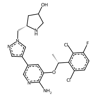 C[C@@H](Oc1cc(-c2cnn(C[C@@H]3CC(O)CN3)c2)cnc1N)c1c(Cl)ccc(F)c1Cl